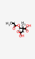 C=CC(=O)OCC(C)(CC(=O)O)C(=O)O